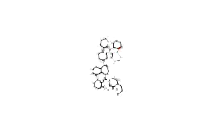 CC1CC=CC=C1C1(c2ccccc2)c2ccccc2-c2ccc(-c3ccc(-c4c5ccccc5nc5c4ccc4cccnc45)c4ccccc34)cc21